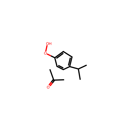 CC(C)=O.CC(C)c1ccc(OO)cc1